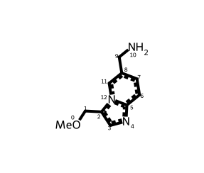 COCc1cnc2ccc(CN)cn12